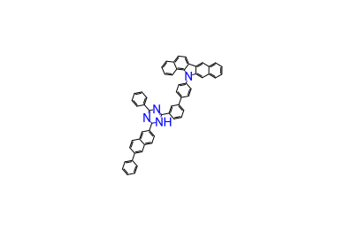 c1ccc(C2=NC(c3ccc4cc(-c5ccccc5)ccc4c3)NC(c3cccc(-c4ccc(-n5c6cc7ccccc7cc6c6ccc7ccccc7c65)cc4)c3)=N2)cc1